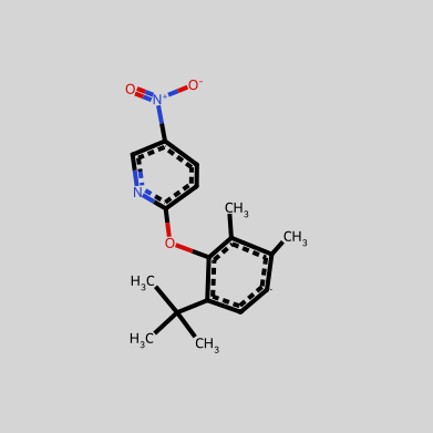 Cc1[c]cc(C(C)(C)C)c(Oc2ccc([N+](=O)[O-])cn2)c1C